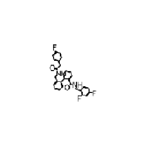 O=C(Cc1ccc(F)cc1)NCc1ccccc1-c1ccccc1C(=O)NCc1ccc(F)cc1F